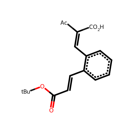 CC(=O)C(=Cc1ccccc1C=CC(=O)OC(C)(C)C)C(=O)O